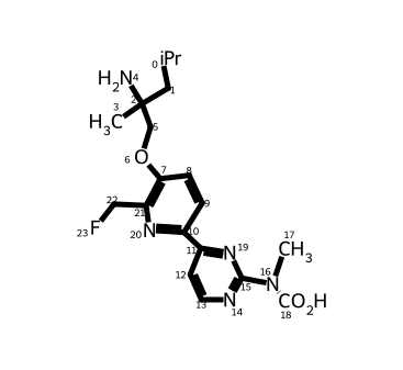 CC(C)CC(C)(N)COc1ccc(-c2ccnc(N(C)C(=O)O)n2)nc1CF